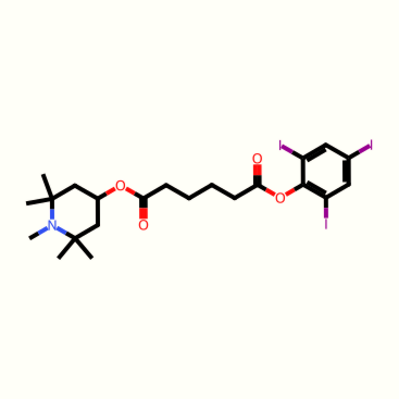 CN1C(C)(C)CC(OC(=O)CCCCC(=O)Oc2c(I)cc(I)cc2I)CC1(C)C